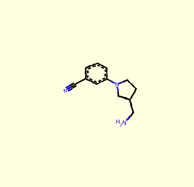 N#Cc1cccc(N2CCC(CN)C2)c1